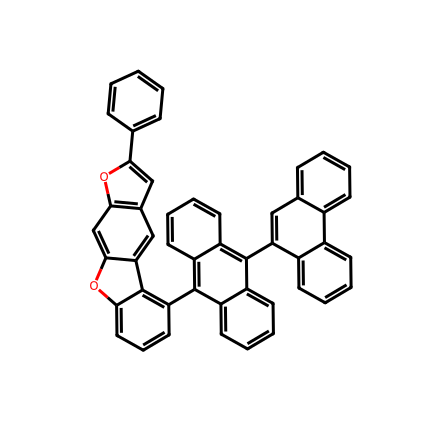 c1ccc(-c2cc3cc4c(cc3o2)oc2cccc(-c3c5ccccc5c(-c5cc6ccccc6c6ccccc56)c5ccccc35)c24)cc1